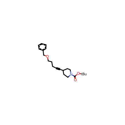 CC(C)(C)OC(=O)N1CCC(C#CCCCOCc2ccccc2)CC1